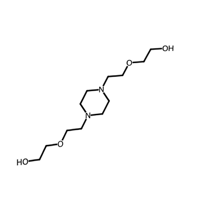 OCCOCCN1CCN(CCOCCO)CC1